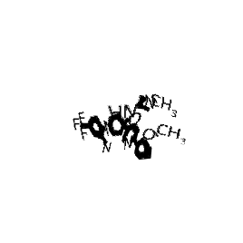 CCOc1ccccc1-c1ccc(C2(C(=O)NC3CN(C)C3)CCN(c3ccc(C(F)(F)F)cc3C#N)CC2)cn1